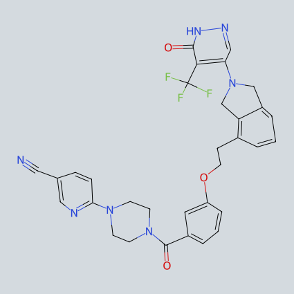 N#Cc1ccc(N2CCN(C(=O)c3cccc(OCCc4cccc5c4CN(c4cn[nH]c(=O)c4C(F)(F)F)C5)c3)CC2)nc1